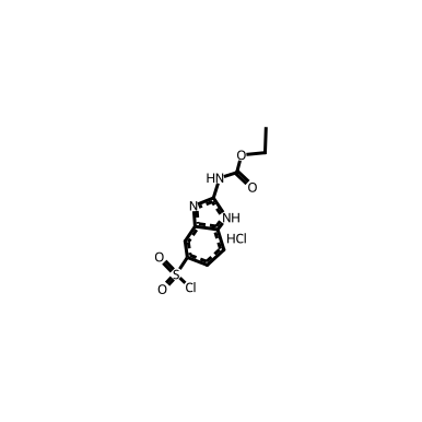 CCOC(=O)Nc1nc2cc(S(=O)(=O)Cl)ccc2[nH]1.Cl